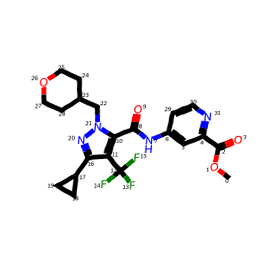 COC(=O)c1cc(NC(=O)c2c(C(F)(F)F)c(C3CC3)nn2CC2CCOCC2)ccn1